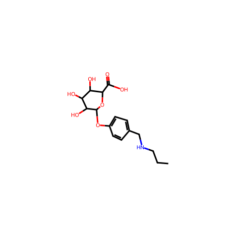 CCCNCc1ccc(OC2OC(C(=O)O)C(O)C(O)C2O)cc1